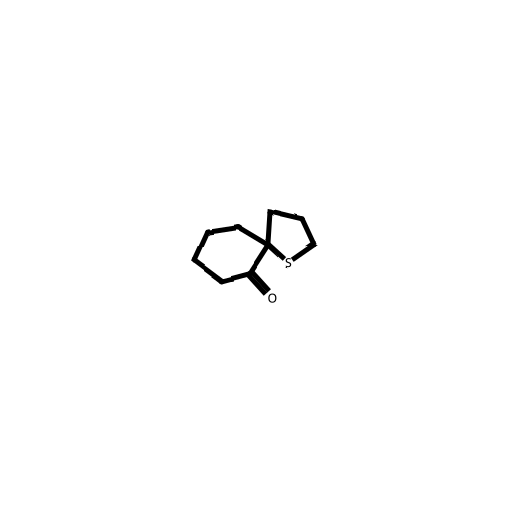 O=C1CCCCC12CCCS2